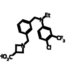 CCN(Cc1cccc(CN2CC(C(=O)O)C2)c1)c1ccc(Cl)c(C(F)(F)F)c1